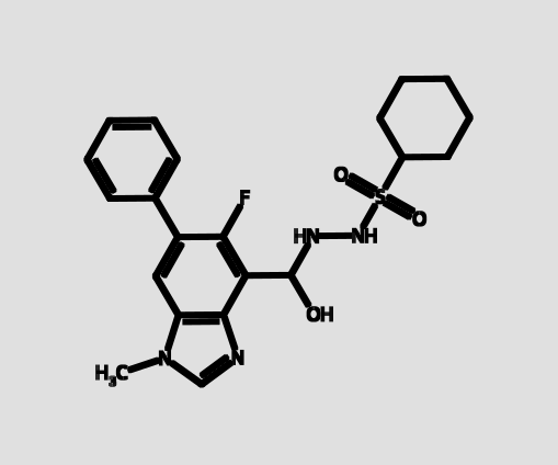 Cn1cnc2c(C(O)NNS(=O)(=O)C3CCCCC3)c(F)c(-c3ccccc3)cc21